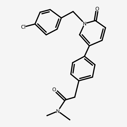 CN(C)C(=O)Cc1ccc(-c2ccc(=O)n(Cc3ccc(Cl)cc3)c2)cc1